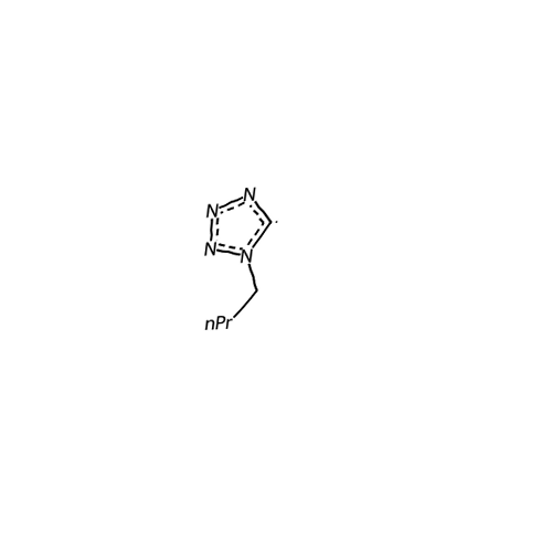 CCCCn1[c]nnn1